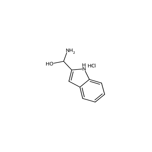 Cl.NC(O)c1cc2ccccc2[nH]1